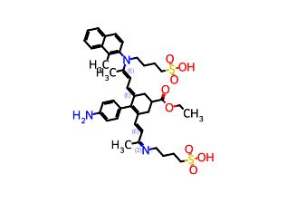 CCOC(=O)C1CC(/C=C/C(C)=N\CCCCS(=O)(=O)O)=C(c2ccc(N)cc2)C(=C/C=C(\C)N(CCCCS(=O)(=O)O)c2ccc3ccccc3c2C)/C1